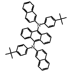 CC(C)(C)c1ccc(N(c2ccc3ccccc3c2)c2c3ccccc3c(N(c3ccc(C(C)(C)C)cc3)c3ccc4ccccc4c3)c3ccccc23)cc1